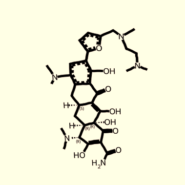 CN(C)CCN(C)Cc1ccc(-c2cc(N(C)C)c3c(c2O)C(=O)C2=C(O)[C@@]4(O)C(=O)C(C(N)=O)=C(O)[C@H](N(C)C)[C@H]4C[C@H]2C3)o1